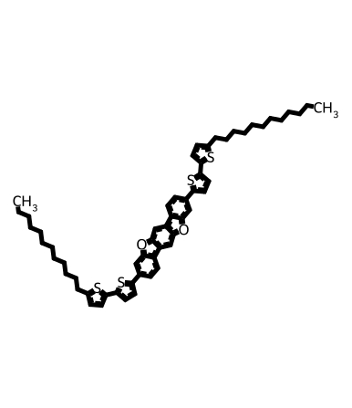 CCCCCCCCCCCCc1ccc(-c2ccc(-c3ccc4c(c3)oc3cc5c(cc34)oc3cc(-c4ccc(-c6ccc(CCCCCCCCCCCC)s6)s4)ccc35)s2)s1